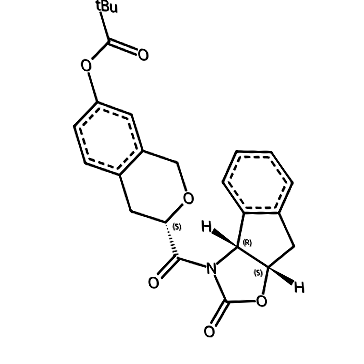 CC(C)(C)C(=O)Oc1ccc2c(c1)CO[C@H](C(=O)N1C(=O)O[C@H]3Cc4ccccc4[C@H]31)C2